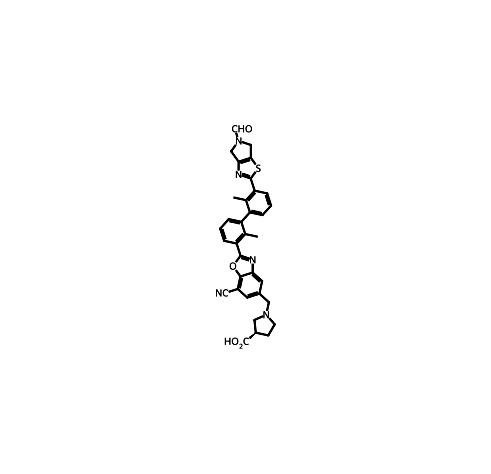 Cc1c(-c2nc3cc(CN4CC[C@@H](C(=O)O)C4)cc(C#N)c3o2)cccc1-c1cccc(-c2nc3c(s2)CN(C=O)C3)c1C